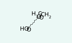 C=C(C)C(=O)OCCCCCCCCCCC(=O)O